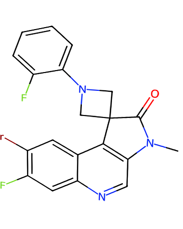 CN1C(=O)C2(CN(c3ccccc3F)C2)c2c1cnc1cc(F)c(Br)cc21